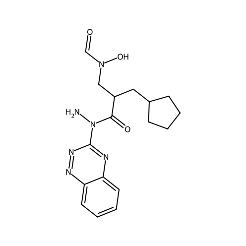 NN(C(=O)C(CC1CCCC1)CN(O)C=O)c1nnc2ccccc2n1